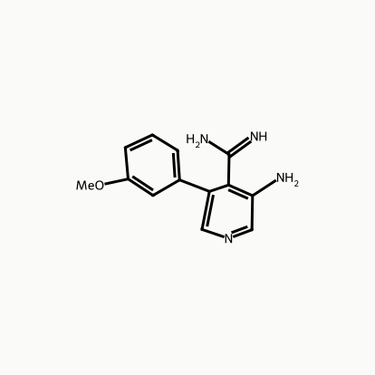 COc1cccc(-c2cncc(N)c2C(=N)N)c1